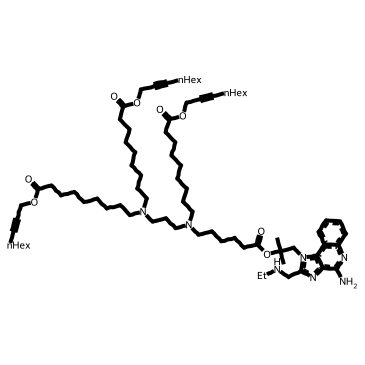 CCCCCCC#CCOC(=O)CCCCCCCCN(CCCCCCCCC(=O)OCC#CCCCCCC)CCCN(CCCCCCCCC(=O)OCC#CCCCCCC)CCCCCC(=O)OC(C)(C)Cn1c(CNCC)nc2c(N)nc3ccccc3c21